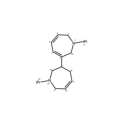 CC(C)N1CC=CC=C(C2CC=CCN(C(C)C)C2)C1